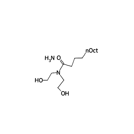 CCCCCCCCCCCC(=O)N(CCO)CCO.N